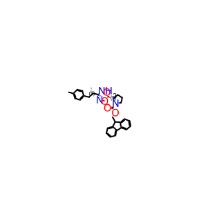 Cc1ccc(C[C@H](C)/C(N)=N/OC(=O)[C@@H]2CCCN2C(=O)OCC2c3ccccc3-c3ccccc32)cc1